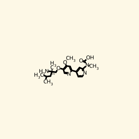 COc1cc(-c2ccnc(N(C)C(=O)O)c2)ncc1OC[C@@](C)(N)CC(C)C